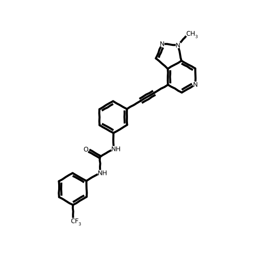 Cn1ncc2c(C#Cc3cccc(NC(=O)Nc4cccc(C(F)(F)F)c4)c3)cncc21